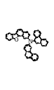 c1ccc2c(c1)ccc1ccc(N(c3ccc4ccc5c6ccccc6oc5c4c3)c3cc4ccccc4c4ccccc34)cc12